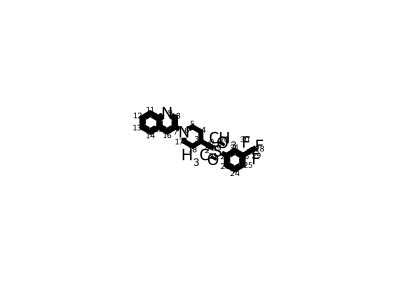 CC(C)(C1CCN(c2cnc3ccccc3c2)CC1)S(=O)(=O)c1cccc(C(F)(F)F)c1